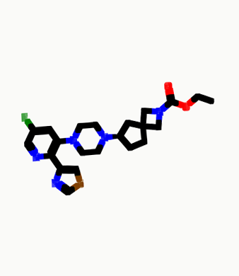 CCOC(=O)N1CC2(CC[C@@H](N3CCN(c4cc(F)cnc4-c4cscn4)CC3)C2)C1